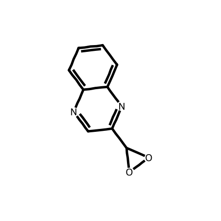 c1ccc2nc(C3OO3)cnc2c1